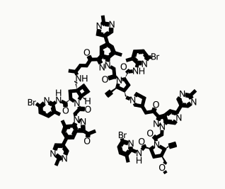 C#C[C@@H]1[C@@H](CN2CCC(CC(=O)c3nn(CC(=O)N4[C@H](C#C)[C@@H](COC)C[C@H]4C(=O)Nc4nc(Br)ccc4C)c4cnc(-c5cnc(C)nc5)cc34)C2)C[C@@H](C(=O)Nc2nc(Br)ccc2C)N1C(=O)Cn1nc(C(=O)CCC(C)NC[C@]23C=C[C@H]2N(C(=O)Cn2nc(C(C)=O)c4cc(-c5cnc(C)nc5)cc(C)c42)[C@H](C(=O)Nc2nc(Br)ccc2C)C3)c2cc(-c3cnc(C)nc3)cc(C)c21